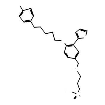 O=P(O)(O)CCCNCc1ccc(OCCCCCc2ccc(F)cc2)c(-c2cccs2)c1